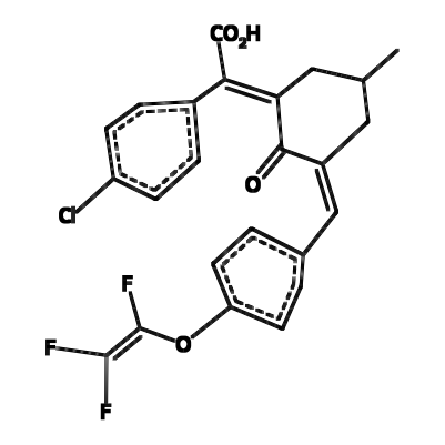 CC1CC(=Cc2ccc(OC(F)=C(F)F)cc2)C(=O)C(=C(C(=O)O)c2ccc(Cl)cc2)C1